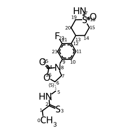 CCC(=S)NC[C@H]1CN(c2ccc(C3CCS(=N)(=O)CC3)c(F)c2)C(=O)O1